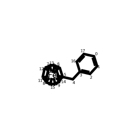 c1ccc(C[C]23[CH]4[CH]5[CH]6[CH]2[Fe]56432789[CH]3[CH]2[CH]7[CH]8[CH]39)cc1